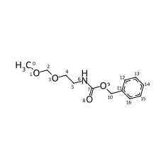 COCOCCNC(=O)OCc1ccccc1